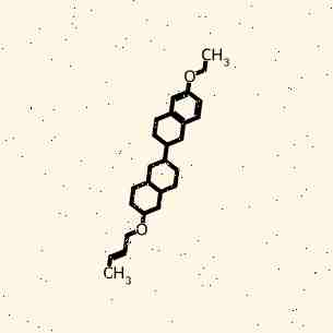 CC=CCOC1CCC2CC(C3CCc4cc(OCC)ccc4C3)CCC2C1